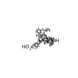 CC(C)C(=Cc1ccccc1)[C@@H]1C[C@H]1NC1CCN(Cc2ccc(C(=O)O)cc2)CC1.O=C(O)C(F)(F)F.O=C(O)C(F)(F)F